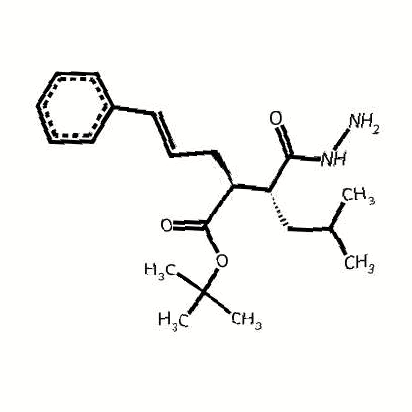 CC(C)C[C@@H](C(=O)NN)[C@H](CC=Cc1ccccc1)C(=O)OC(C)(C)C